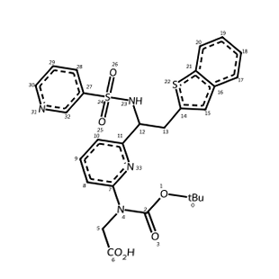 CC(C)(C)OC(=O)N(CC(=O)O)c1cccc(C(Cc2cc3ccccc3s2)NS(=O)(=O)c2cccnc2)n1